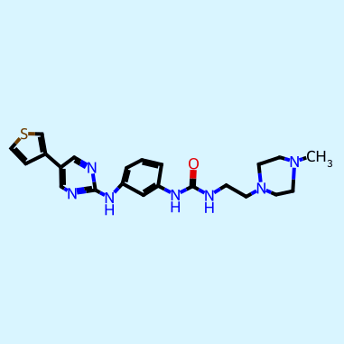 CN1CCN(CCNC(=O)Nc2cccc(Nc3ncc(-c4ccsc4)cn3)c2)CC1